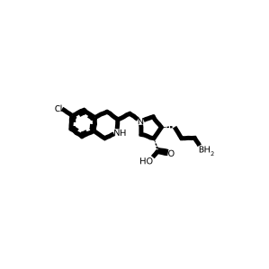 BCCC[C@H]1CN(CC2Cc3cc(Cl)ccc3CN2)C[C@H]1C(=O)O